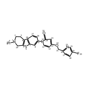 CC(C)N1CCc2c(sc3cc(-n4ccc(OCc5ccc(F)cn5)cc4=O)ccc23)C1